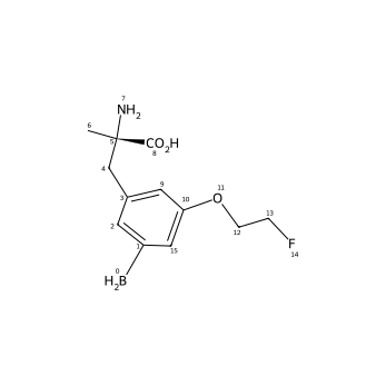 Bc1cc(C[C@](C)(N)C(=O)O)cc(OCCF)c1